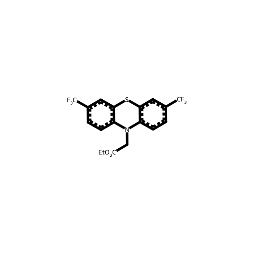 CCOC(=O)CN1c2ccc(C(F)(F)F)cc2Sc2cc(C(F)(F)F)ccc21